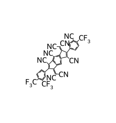 N#CC(C#N)=C1C(c2ccc(C(F)(F)F)c(C(F)(F)F)c2)=C(C#N)c2c1cc1c(c2C#N)C(=C(C#N)C#N)C(c2ccc(C(F)(F)F)c(C#N)c2)=C1C#N